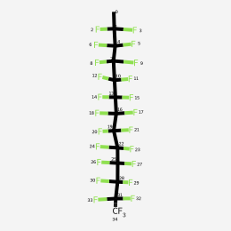 CC(F)(F)C(F)(F)C(F)(F)C(F)(F)C(F)(F)C(F)(F)C(F)(F)C(F)(F)C(F)(F)C(F)(F)C(F)(F)C(F)(F)F